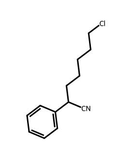 N#CC(CCCCCCl)c1ccccc1